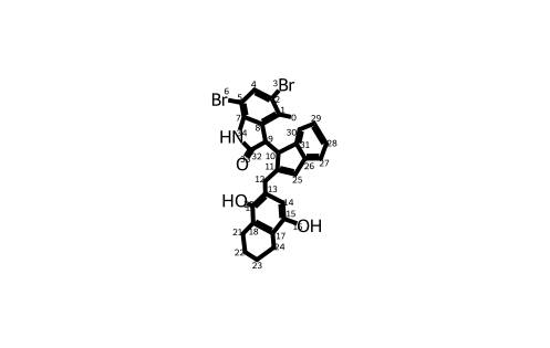 Cc1c(Br)cc(Br)c2c1C(C1C(Cc3cc(O)c4c(c3O)CCCC4)=Cc3ccccc31)C(=O)N2